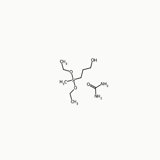 CCO[Si](C)(CCCO)OCC.NC(N)=O